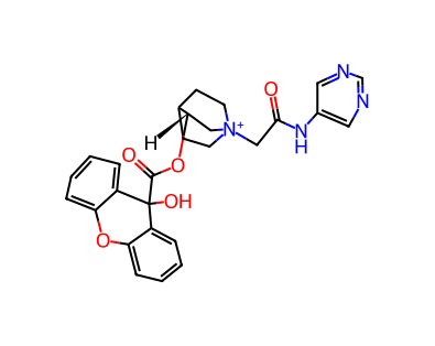 O=C(C[N+]12CCC(CC1)[C@@H](OC(=O)C1(O)c3ccccc3Oc3ccccc31)C2)Nc1cncnc1